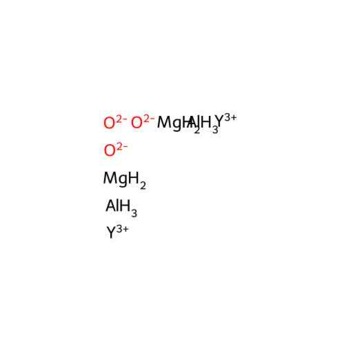 [AlH3].[AlH3].[MgH2].[MgH2].[O-2].[O-2].[O-2].[Y+3].[Y+3]